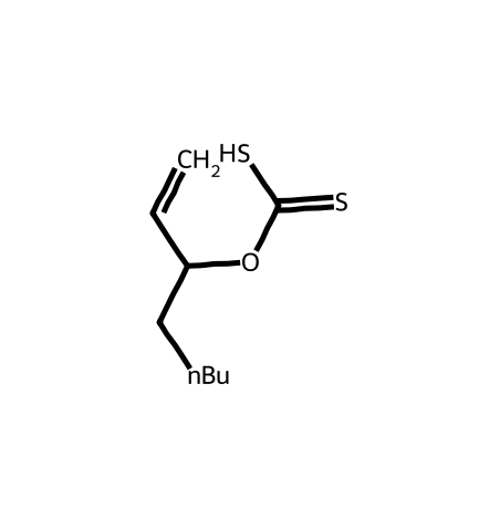 C=CC(CCCCC)OC(=S)S